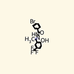 C/C(=N\NC(=O)c1ccc(Br)cc1)c1cc(C(F)(F)F)ccc1O